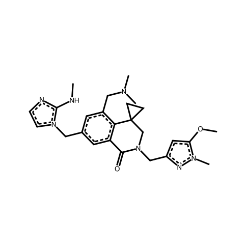 CNc1nccn1Cc1cc(CN(C)C)c2c(c1)C(=O)N(Cc1cc(OC)n(C)n1)CC21CC1